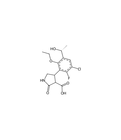 CCOc1c([C@@H](C)O)cc(Cl)c(F)c1C1CNC(=O)C1C(=O)O